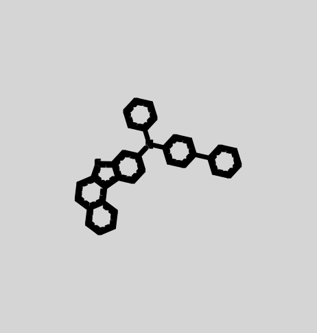 c1ccc(-c2ccc(N(c3ccccc3)c3ccc4c(c3)sc3ccc5ccccc5c34)cc2)cc1